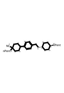 CCCCCC1(C#N)CCC(c2ccc(CC[C@H]3CC[C@H](CCCCC)CC3)cc2)CC1